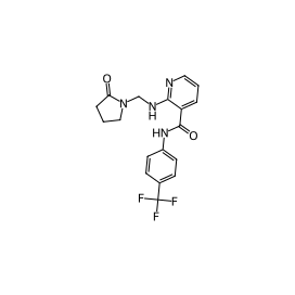 O=C(Nc1ccc(C(F)(F)F)cc1)c1cccnc1NCN1CCCC1=O